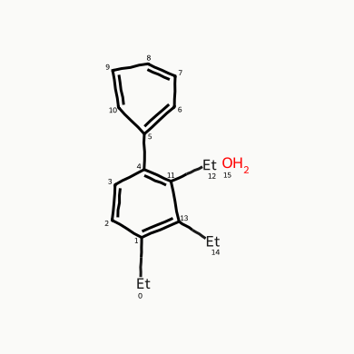 CCc1ccc(-c2ccccc2)c(CC)c1CC.O